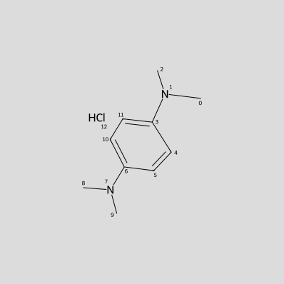 CN(C)c1ccc(N(C)C)cc1.Cl